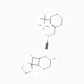 CC1[C@H]2[C@H](C#C[C@H](CC3CCCCC3)O[Si](C)(C)C(C)(C)C)[C@@H](O)CC[C@@]2(C)C12OCCO2